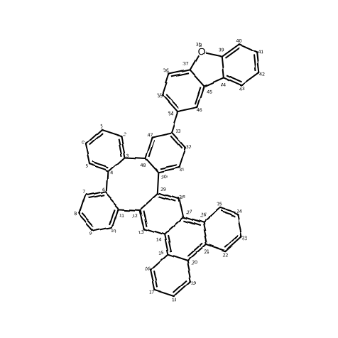 c1ccc2c(c1)-c1ccccc1-c1cc3c4ccccc4c4ccccc4c3cc1-c1ccc(-c3ccc4oc5ccccc5c4c3)cc1-2